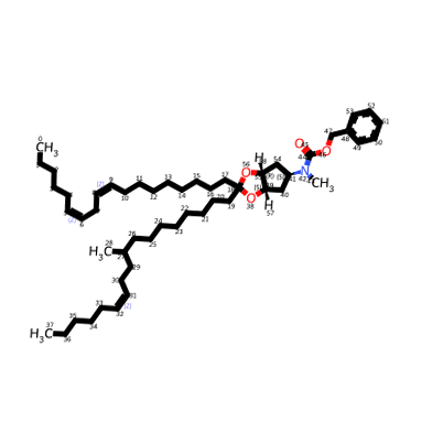 CCCCC/C=C\C/C=C\CCCCCCCCC1(CCCCCCCCC(C)CC/C=C\CCCCC)O[C@H]2C[C@H](N(C)C(=O)OCc3ccccc3)C[C@H]2O1